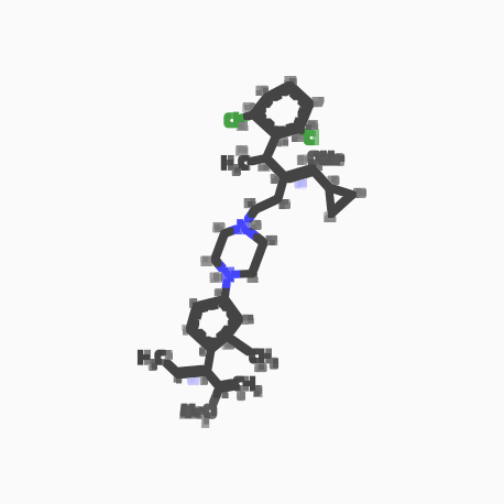 C=C(OC)/C(=C/C)c1ccc(N2CCN(CC/C(=C(/OC)C3CC3)C(C)c3c(Cl)cccc3Cl)CC2)cc1C